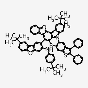 CC(C)(C)c1ccc(Nc2cc3oc4ccc(C(C)(C)C)cc4c3cc2-c2c3c4c(c5cc(C(C)(C)C)ccc5n4-c4cc5c(-c6ccccc6)c(-c6ccccc6)sc5cc4B3)c3oc4ccccc4c23)cc1